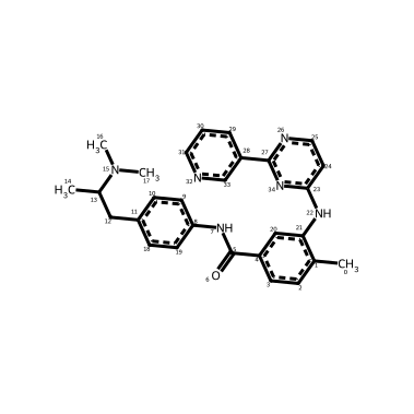 Cc1ccc(C(=O)Nc2ccc(CC(C)N(C)C)cc2)cc1Nc1ccnc(-c2cccnc2)n1